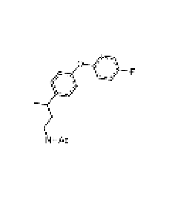 CC(=O)NCCC(C)c1ccc(Oc2ccc(F)cc2)cc1